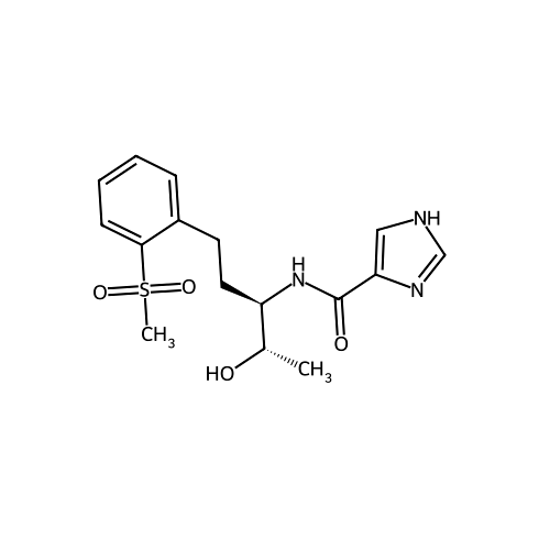 C[C@H](O)[C@@H](CCc1ccccc1S(C)(=O)=O)NC(=O)c1c[nH]cn1